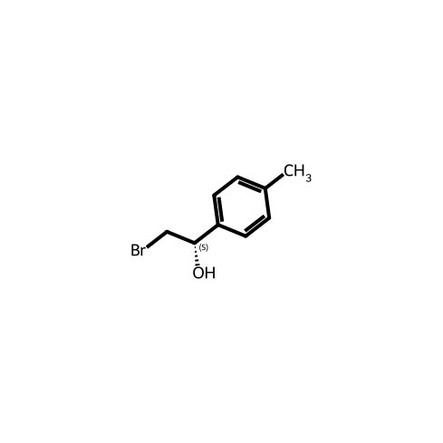 Cc1ccc([C@H](O)CBr)cc1